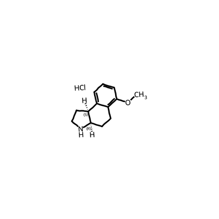 COc1cccc2c1CC[C@H]1NCC[C@@H]21.Cl